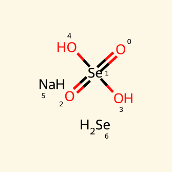 O=[Se](=O)(O)O.[NaH].[SeH2]